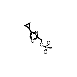 CS(=O)(=O)OCc1nc([C]2CC2)co1